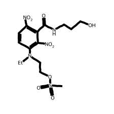 [CH2]CN(CCOS(C)(=O)=O)c1ccc([N+](=O)[O-])c(C(=O)NCCCO)c1[N+](=O)[O-]